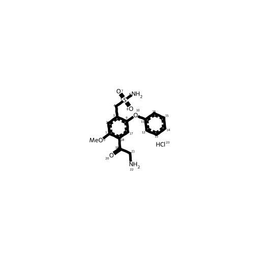 COc1cc(CS(N)(=O)=O)c(Oc2ccccc2)cc1C(=O)CN.Cl